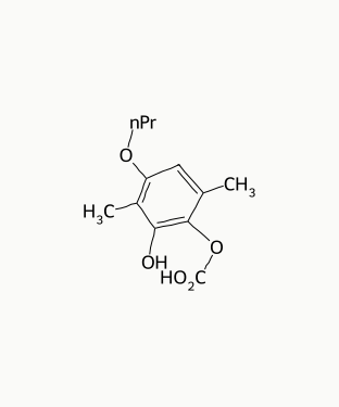 CCCOc1cc(C)c(OC(=O)O)c(O)c1C